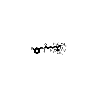 CC(C)(C)C(CCCCC(=O)NCc1cccc(F)c1)C(C)(C)C